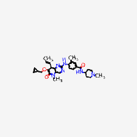 CC=Cc1c(OCC2CC2)c(=O)n(C)c2cnc(Nc3ccc(C(=O)NC4CCN(C)CC4)cc3C)nc12